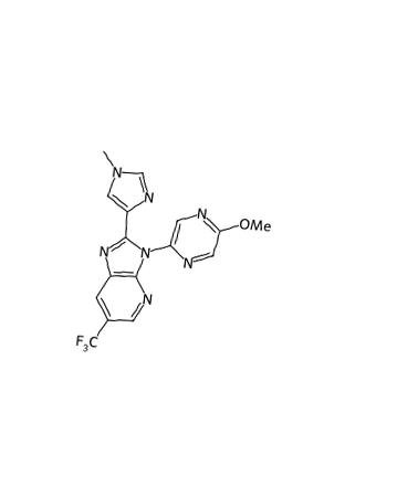 COc1cnc(-n2c(-c3cn(C)cn3)nc3cc(C(F)(F)F)cnc32)cn1